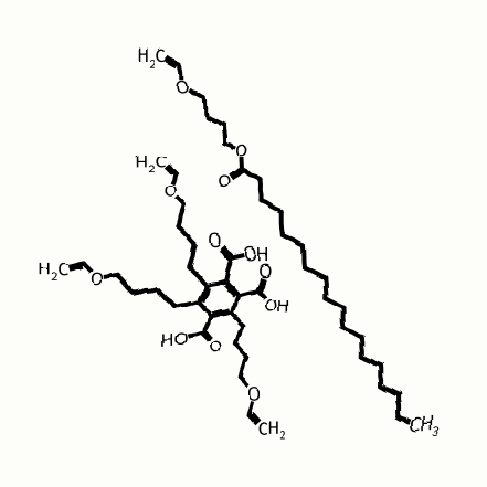 C=COCCCCOC(=O)CCCCCCCCCCCCCCCCC.C=COCCCCc1c(CCCCOC=C)c(C(=O)O)c(C(=O)O)c(CCCCOC=C)c1C(=O)O